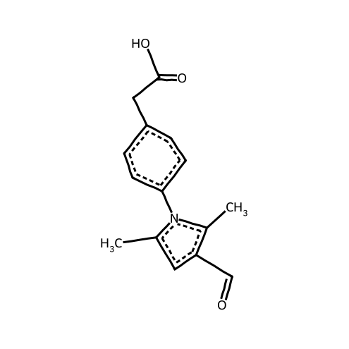 Cc1cc(C=O)c(C)n1-c1ccc(CC(=O)O)cc1